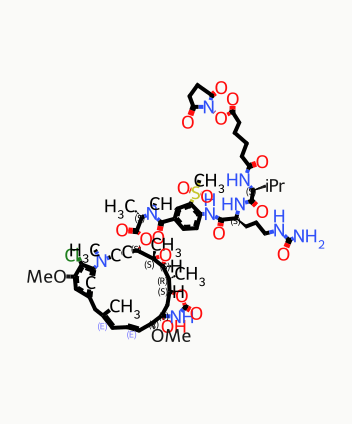 COc1cc2cc(c1Cl)N(C)CC[C@H](OC(=O)[C@H](C)N(C)C(=O)c1ccc(NC(=O)[C@H](CCCNC(N)=O)NC(=O)[C@@H](NC(=O)CCCCC(=O)ON3C(=O)CCC3=O)C(C)C)c(S(C)(=O)=O)c1)[C@]1(C)O[C@H]1[C@H](C)[C@@H]1C[C@@](O)(NC(=O)O1)[C@H](OC)/C=C/C=C(\C)C2